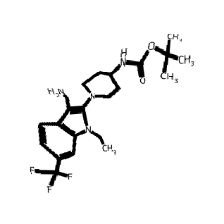 CCn1c(N2CCC(NC(=O)OC(C)(C)C)CC2)c(N)c2ccc(C(F)(F)F)cc21